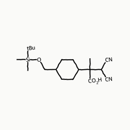 CC(C(=O)O)(C(C#N)C#N)C1CCC(CO[Si](C)(C)C(C)(C)C)CC1